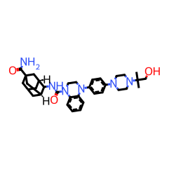 CC(C)(CO)N1CCN(c2ccc(N3CCN(C(=O)NC4[C@@H]5CC6C[C@H]4CC(C(N)=O)(C6)C5)c4ccccc43)cc2)CC1